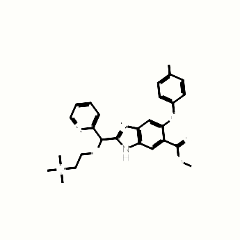 COC(=O)c1cc2[nH]c(C(OCC[Si](C)(C)C)c3ccccn3)nc2cc1Oc1ccc(I)cc1